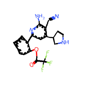 N#Cc1c(C2CCNC2)cc(-c2ccccc2OC(=O)C(F)(F)F)nc1N